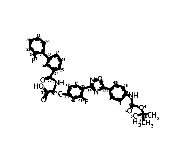 CC(C)(C)OC(=O)Nc1ccc(-c2nc(-c3ccc(C[C@@H](NC(=O)c4cccc(-c5ccccc5F)c4)C(=O)O)cc3F)no2)cc1